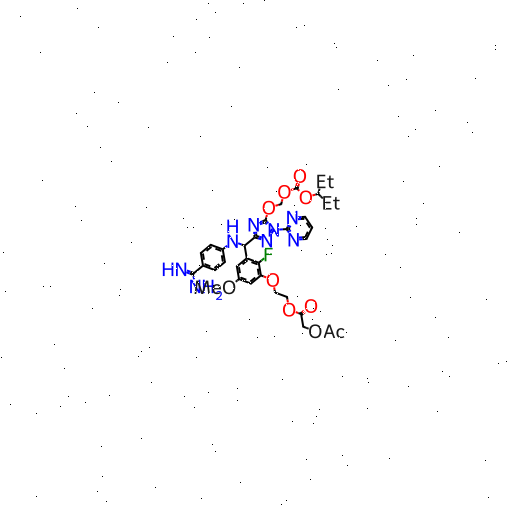 CCC(CC)OC(=O)OCOc1nc(C(Nc2ccc(C(=N)N)cc2)c2cc(OC)cc(OCCOC(=O)COC(C)=O)c2F)nn1-c1ncccn1